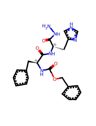 NNC(=O)[C@H](Cc1c[nH]cn1)NC(=O)[C@H](Cc1ccccc1)NC(=O)OCc1ccccc1